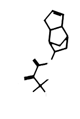 C=C(C(=O)OC1CC2CC1C1CC=CC21)C(F)(F)F